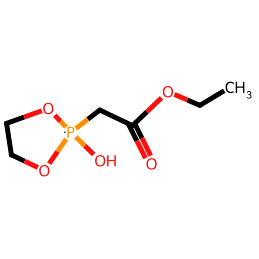 CCOC(=O)C[P]1(O)OCCO1